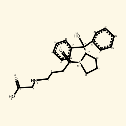 O=C(O)CNCCCC(=O)N1CCC[C@H]1C(O)(c1ccccc1)c1ccccc1